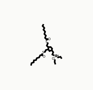 CCCCCCCCC(=O)SCCC1CCC(CC[SiH](OCCC)OCCC)CC1CCSC(=O)CCCCCCCC